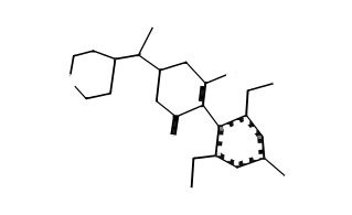 CCc1cc(C)cc(CC)c1C1=C(O)CC(C(C)C2CCOCC2)CC1=O